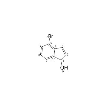 OC1C=Cc2c(Br)cccc21